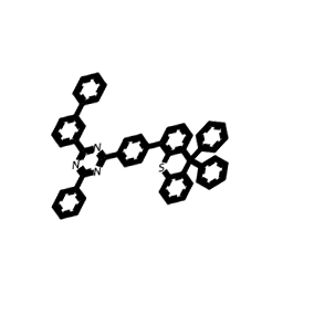 c1ccc(-c2cccc(-c3nc(-c4ccccc4)nc(-c4ccc(-c5cccc6c5Sc5ccccc5C6(c5ccccc5)c5ccccc5)cc4)n3)c2)cc1